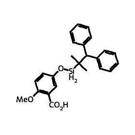 COc1ccc(O[SiH2]C(C)(C)C(c2ccccc2)c2ccccc2)cc1C(=O)O